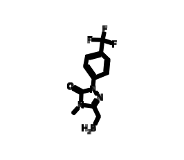 BCc1nn(-c2ccc(C(F)(F)F)cc2)c(=O)n1C